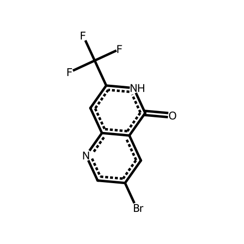 O=c1[nH]c(C(F)(F)F)cc2ncc(Br)cc12